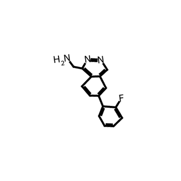 NCc1nncc2cc(-c3ccccc3F)ccc12